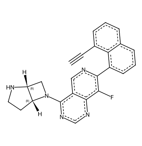 C#Cc1cccc2cccc(-c3ncc4c(N5C[C@H]6NCC[C@H]65)ncnc4c3F)c12